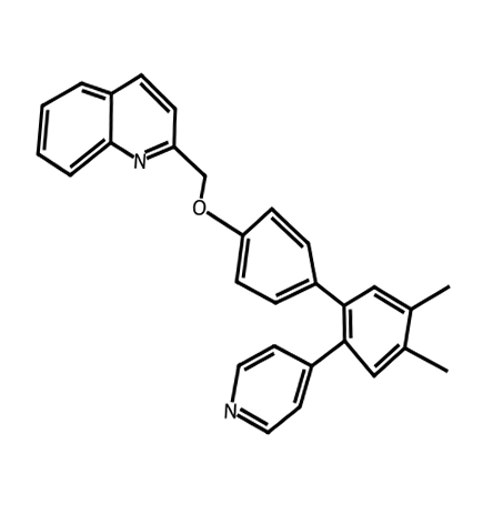 Cc1cc(-c2ccncc2)c(-c2ccc(OCc3ccc4ccccc4n3)cc2)cc1C